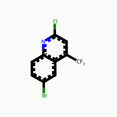 FC(F)(F)c1cc(Cl)nc2ccc(Br)cc12